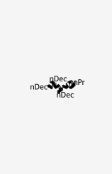 CCCCCCCCCCCCN(CCCCCCCCCCCC)CCN(CCCCCCCCCCCC)CCN1CCN(CCC)CC1